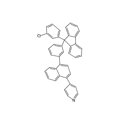 Clc1cccc(C2(c3cccc(-c4ccc(-c5ccncc5)c5ccccc45)c3)c3ccccc3-c3ccccc32)c1